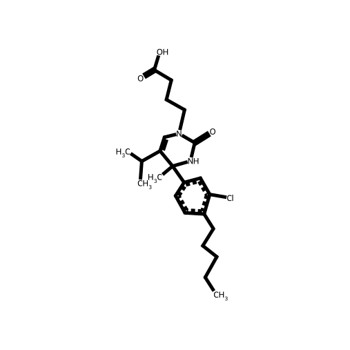 CCCCCc1ccc(C2(C)NC(=O)N(CCCC(=O)O)C=C2C(C)C)cc1Cl